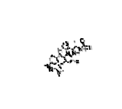 C[C@H](NC(=O)O)[C@H](Nc1nc(Nc2ccc3c(c2)c(N(C)C)nn3C)c(C#N)cc1F)c1cccs1